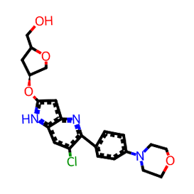 OCC1C[C@H](Oc2cc3nc(-c4ccc(N5CCOCC5)cc4)c(Cl)cc3[nH]2)CO1